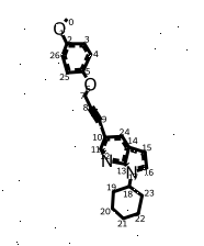 COc1ccc(OCC#Cc2cnc3c(ccn3C3CCCCC3)c2)cc1